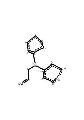 O=CCB(c1ccccc1)c1ccccc1